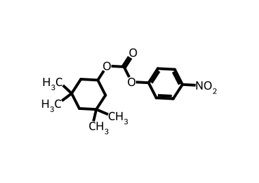 CC1(C)CC(OC(=O)Oc2ccc([N+](=O)[O-])cc2)CC(C)(C)C1